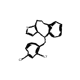 Clc1ccc(CC2c3ccccc3CCc3sccc32)c(Cl)c1